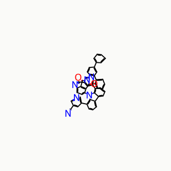 N#Cc1cncc(-c2cccc3c4cccc(-c5cncc(C#N)c5)c4n(-c4cccc5c4C(=O)N(c4ccc(-c6ccccc6)cc4-c4ccccc4)C5=O)c23)c1